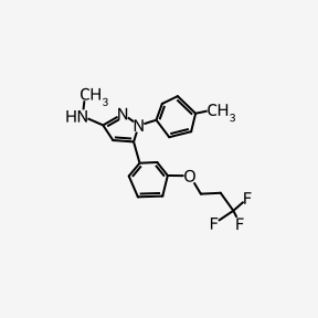 CNc1cc(-c2cccc(OCCC(F)(F)F)c2)n(-c2ccc(C)cc2)n1